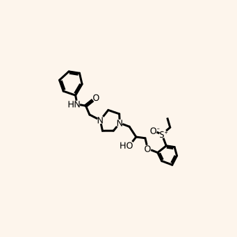 CC[S+]([O-])c1ccccc1OCC(O)CN1CCN(CC(=O)Nc2ccccc2)CC1